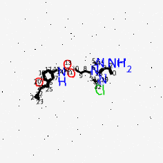 C=C(N)c1ncn(CCCCOC(=O)NCc2ccc3oc(C4CC4)cc3c2)c1/N=C(\C)Cl